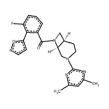 Cc1cc(C)nc(N2CC[C@@H]3CN(C(=O)c4cccc(F)c4-c4ccno4)[C@@H]3C2)n1